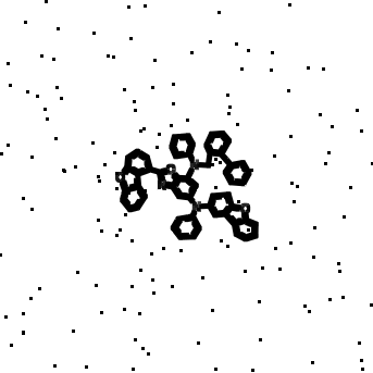 c1ccc(-c2ccccc2CN(c2ccccc2)c2cc(N(c3ccccc3)c3ccc4oc5ccccc5c4c3)cc3nc(-c4cccc5oc6ccccc6c45)oc23)cc1